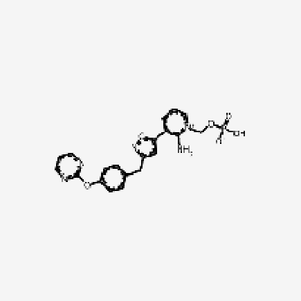 Nc1c(-c2cc(Cc3ccc(Oc4ncccn4)cc3)no2)ccc[n+]1COP(=O)([O-])O